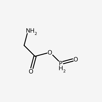 NCC(=O)O[PH2]=O